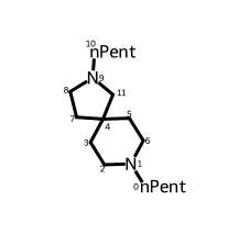 CCCCCN1CCC2(CC1)CCN(CCCCC)C2